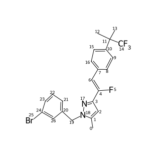 Cc1cc(/C(F)=C/c2ccc(C(C)(C)C(F)(F)F)cc2)nn1Cc1cccc(Br)c1